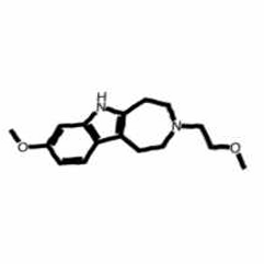 COCCN1CCc2[nH]c3cc(OC)ccc3c2CC1